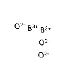 [B+3].[B+3].[O-2].[O-2].[O-2]